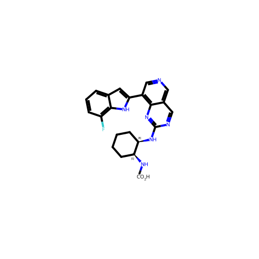 O=C(O)N[C@H]1CCCC[C@H]1Nc1ncc2cncc(-c3cc4cccc(F)c4[nH]3)c2n1